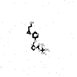 CC(C)(C)OC(=O)N1CC[C@H]1COc1cncc([C@@H]2CC2CCO)c1